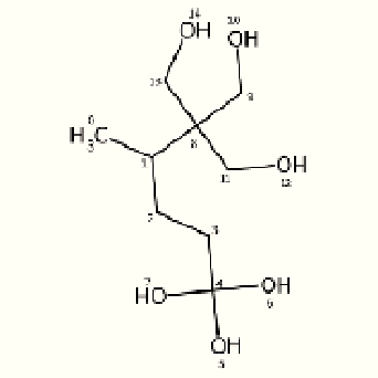 CC(CCC(O)(O)O)C(CO)(CO)CO